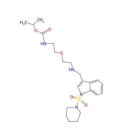 CC(C)OC(=O)NCCOCCNCc1cn(S(=O)(=O)N2CCCCC2)c2ccccc12